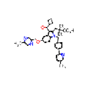 CCC(CC)(Cc1c(C(=O)C2CCC2)c2cc(OCc3cnc(C)cn3)ccc2n1Cc1ccc(-c2ccc(C(F)(F)F)cn2)cc1)C(=O)O